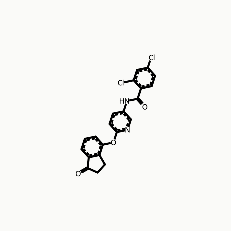 O=C(Nc1ccc(Oc2cccc3c2CCC3=O)nc1)c1ccc(Cl)cc1Cl